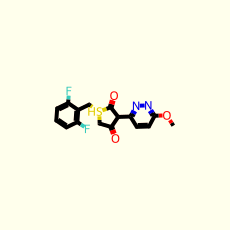 COc1ccc(C2C(=O)C[SH](Cc3c(F)cccc3F)C2=O)nn1